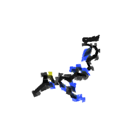 COCc1cccc(Cn2cc(-c3cc(-c4nc(C)cs4)nc(N)n3)nn2)n1